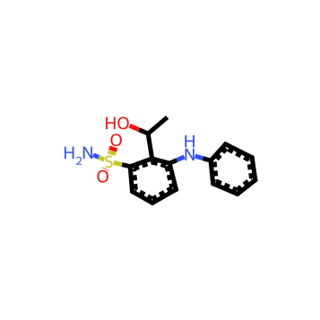 CC(O)c1c(Nc2ccccc2)cccc1S(N)(=O)=O